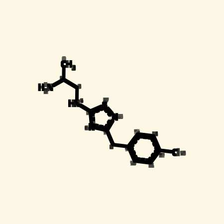 CC(N)CNc1nc(Cc2ccc(Cl)cc2)ns1